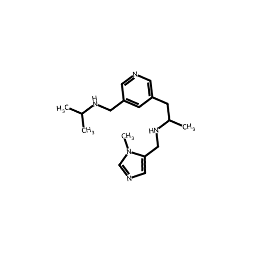 CC(C)NCc1cncc(CC(C)NCc2cncn2C)c1